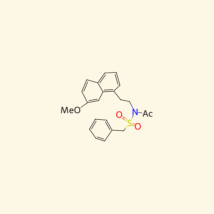 COc1ccc2cccc(CCN(C(C)=O)S(=O)(=O)Cc3ccccc3)c2c1